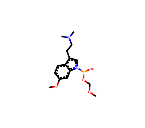 COCOP(O)n1cc(CCN(C)C)c2ccc(OC)cc21